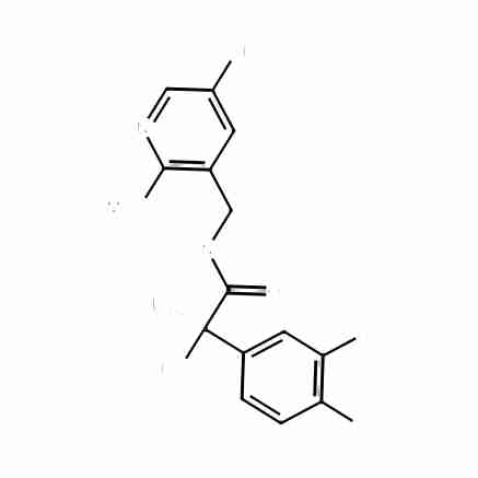 CC[C@](O)(C(=O)NCc1cc(C(F)(F)F)cnc1OC)c1ccc(Cl)c(Cl)c1